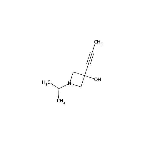 CC#CC1(O)CN(C(C)C)C1